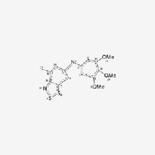 COc1cc(/N=c2\cc3ssnc-3c(C)c2)cc(OC)c1OC